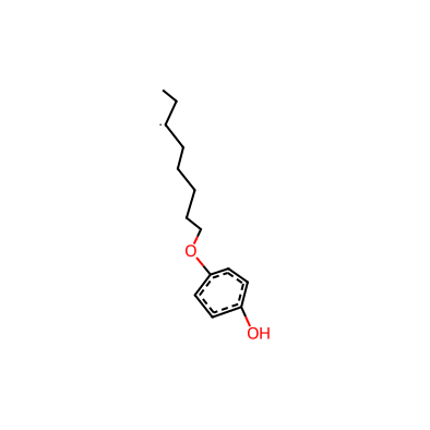 CC[CH]CCCCCOc1ccc(O)cc1